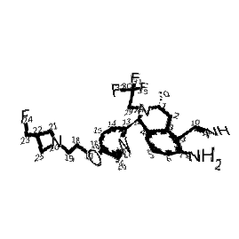 C[C@@H]1Cc2c(ccc(N)c2C=N)[C@@H](c2ccc(OCCN3CC(CF)C3)cn2)N1CC(F)(F)F